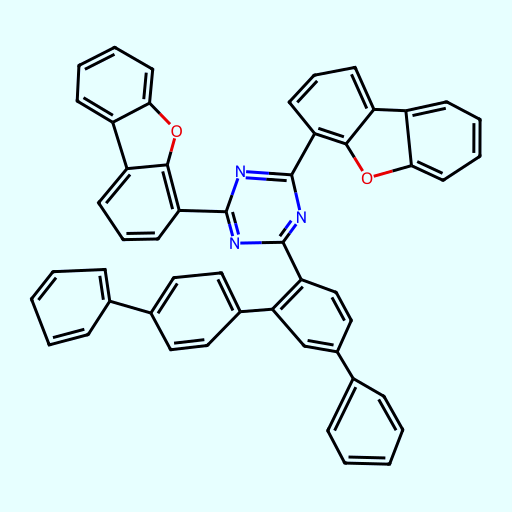 c1ccc(-c2ccc(-c3cc(-c4ccccc4)ccc3-c3nc(-c4cccc5c4oc4ccccc45)nc(-c4cccc5c4oc4ccccc45)n3)cc2)cc1